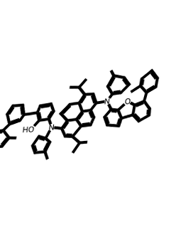 Cc1cccc(N(c2cccc(-c3cccc(-c4ccccc4C)c3)c2O)c2cc(C(C)C)c3ccc4c(N(c5cccc(C)c5)c5cccc6c5oc5c(-c7ccccc7C)cccc56)cc(C(C)C)c5ccc2c3c54)c1